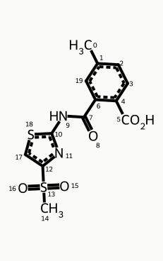 Cc1ccc(C(=O)O)c(C(=O)Nc2nc(S(C)(=O)=O)cs2)c1